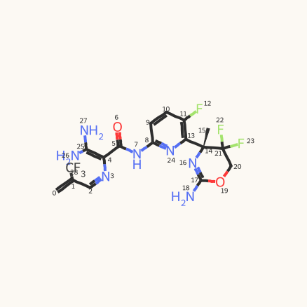 C=C(/C=N\C(C(=O)Nc1ccc(F)c([C@@]2(C)N=C(N)OCC2(F)F)n1)=C(N)N)C(F)(F)F